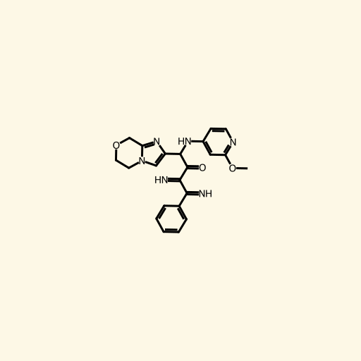 COc1cc(NC(C(=O)C(=N)C(=N)c2ccccc2)c2cn3c(n2)COCC3)ccn1